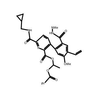 C=Cc1cc(C(=O)NNC)c(-c2ccc(C(=O)NCC3CC3)nc2C(=O)OC(C)OC(=O)C(C)C)cc1OC